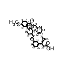 COc1ccc(C(=O)NCc2ncccn2)c(N2CCC(COc3cccc(C(CC(=O)O)C4CC4)c3)CC2)c1